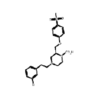 CS(=O)(=O)c1ccc(OC[C@@H]2CN(CCc3cccc(Cl)c3)CCN2C(=O)O)cc1